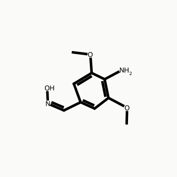 COc1cc(/C=N\O)cc(OC)c1N